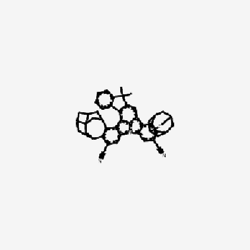 CC1(C)c2ccccc2-c2c1cc1c3c4c(c(C#N)cc3n3c5cc(C#N)c6c(c5c2c13)C1CC2CC3CC6CC32C1)C1CC2CC(C1)CC4C2